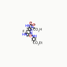 CCOC(=O)c1ccc(NC(=O)NC(c2cc[nH]c2)c2cc3c(cc2C(F)(F)F)[nH]c(=O)c(=O)n3CC(=O)O)cc1